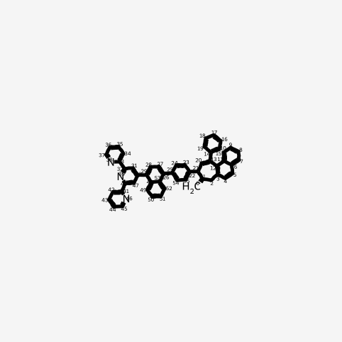 C=C1Cc2ccc3ccccc3c2C(c2ccccc2)=CC1c1ccc(-c2ccc(-c3cc(-c4ccccn4)nc(-c4ccccn4)c3)c3ccccc23)cc1